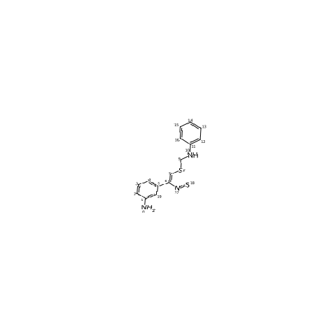 Nc1cccc(/C(=C/SCNc2ccccc2)N=S)c1